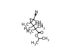 CC(C)OC(=O)C(C)(C)C(C)(C)C1(C)CC1(C)C#N